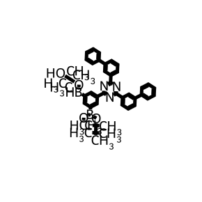 COB(OC(C)(C)C(C)(C)C)c1cc(BOC(C)(C)C(C)(C)O)cc(-c2nc(-c3cccc(-c4ccccc4)c3)nc(-c3cccc(-c4ccccc4)c3)n2)c1